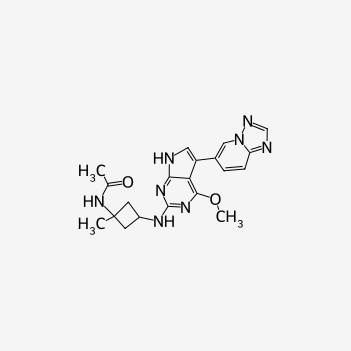 COc1nc(NC2CC(C)(NC(C)=O)C2)nc2[nH]cc(-c3ccc4ncnn4c3)c12